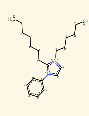 CCCCCCCc1n(-c2ccccc2)cc[n+]1CCCCCC